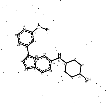 CCOc1cc(-c2cnc3ccc(NC4CCC(O)CC4)cn23)ccn1